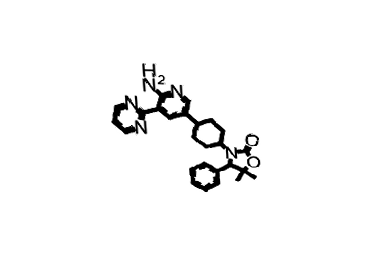 CC1(C)OC(=O)N(C2CCC(c3cnc(N)c(-c4ncccn4)c3)CC2)C1c1ccccc1